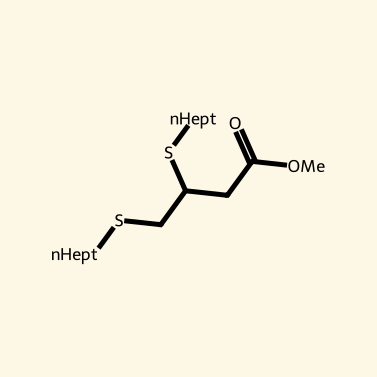 CCCCCCCSCC(CC(=O)OC)SCCCCCCC